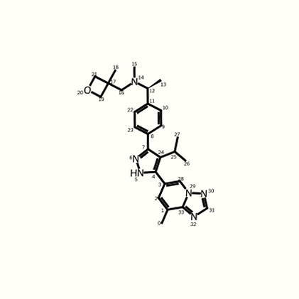 Cc1cc(-c2[nH]nc(-c3ccc([C@H](C)N(C)CC4(C)COC4)cc3)c2C(C)C)cn2ncnc12